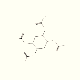 O=C(O)OC1CC(OC(=O)O)C(OC(=O)O)CC1OC(=O)O